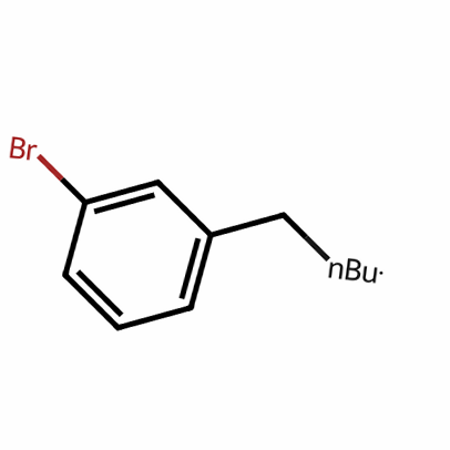 CCC[CH]Cc1cccc(Br)c1